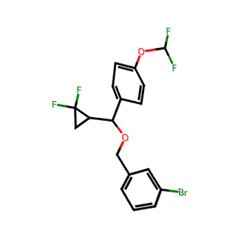 FC(F)Oc1ccc(C(OCc2cccc(Br)c2)C2CC2(F)F)cc1